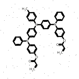 C=CC(=O)Oc1ccc(N(c2ccccc2)c2ccc(N(c3ccc(C)cc3)c3ccc(N(c4ccccc4)c4ccc(OC(=O)C=C)cc4)cc3)cc2)cc1